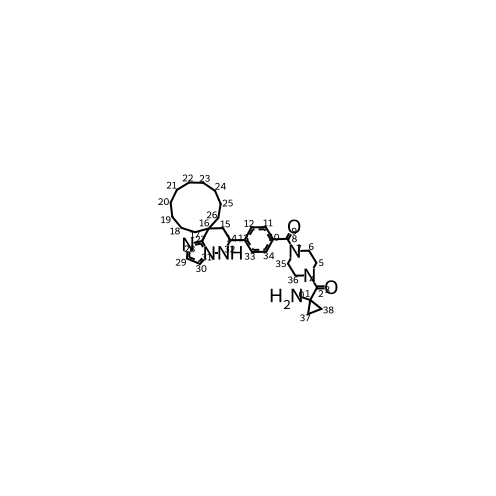 NC1(C(=O)N2CCN(C(=O)c3ccc(C4CC5(CCCCCCCCCC5)c5nccn5N4)cc3)CC2)CC1